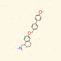 COc1ccc(-c2ccc(COc3ccc4c(c3)CCCC4CN(C)C)cc2)cc1